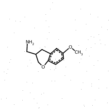 COc1ccc2c(c1)CC(CN)CO2